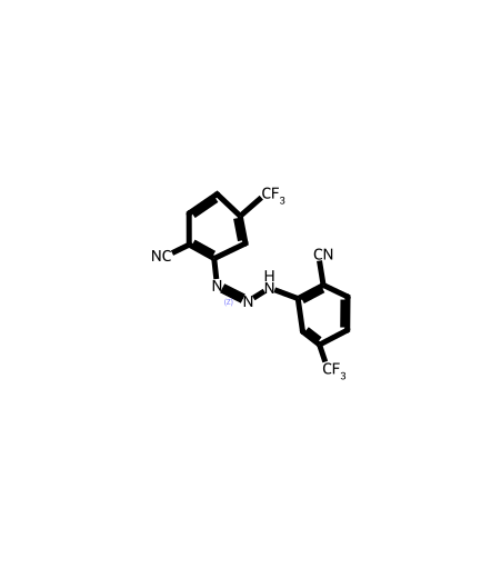 N#Cc1ccc(C(F)(F)F)cc1/N=N\Nc1cc(C(F)(F)F)ccc1C#N